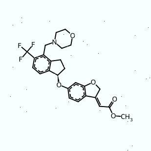 COC(=O)/C=C1\COc2cc(O[C@@H]3CCc4c3ccc(C(F)(F)F)c4CN3CCOCC3)ccc21